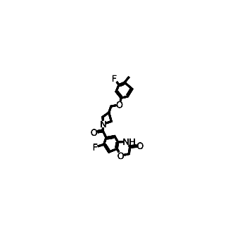 Cc1ccc(OCC2CN(C(=O)c3cc4c(cc3F)OCC(=O)N4)C2)cc1F